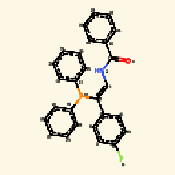 O=C(NC=C(c1ccc(F)cc1)P(c1ccccc1)c1ccccc1)c1ccccc1